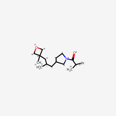 CC(CC1CCN(C(=O)C(C)C(C)C)C1)CC1(C)COC1